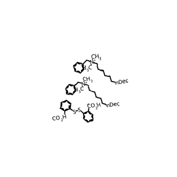 CCCCCCCCCCCCCCCC[N+](C)(C)Cc1ccccc1.CCCCCCCCCCCCCCCC[N+](C)(C)Cc1ccccc1.O=C(O)c1ccccc1SSc1ccccc1C(=O)O